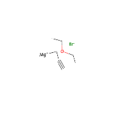 C#C[CH2][Mg+].CCOCC.[Br-]